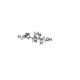 Cn1cc(C2CN=C3C(NCCO)=NC=CN32)cn1